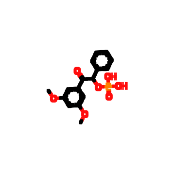 COc1cc(OC)cc(C(=O)C(OP(=O)(O)O)c2ccccc2)c1